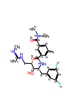 CCC/C(=N/C#N)NCC[C@H](O)[C@H](Cc1cc(F)cc(F)c1)NC(=O)c1cc(C)cc(C(=O)N(CCC)CCC)c1